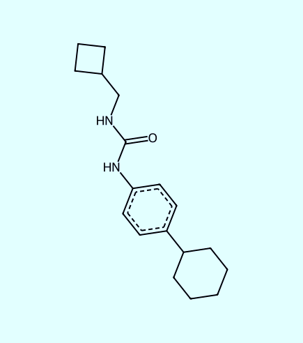 O=C(NCC1CCC1)Nc1ccc(C2CCCCC2)cc1